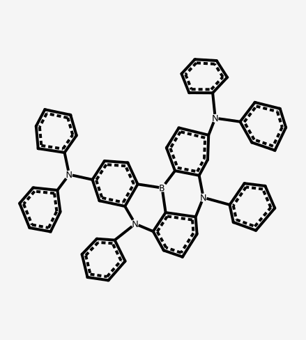 c1ccc(N(c2ccccc2)c2ccc3c(c2)N(c2ccccc2)c2cccc4c2B3c2ccc(N(c3ccccc3)c3ccccc3)cc2N4c2ccccc2)cc1